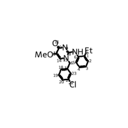 CCc1ccccc1Nc1nc(=O)c(OC)cn1Cc1cccc(Cl)c1